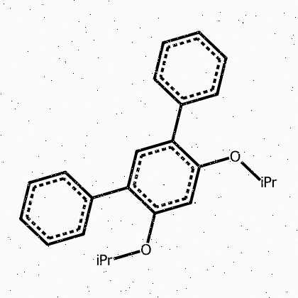 CC(C)Oc1[c]c(OC(C)C)c(-c2ccccc2)cc1-c1ccccc1